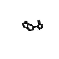 c1c[nH]c(-c2ccc3ccoc3c2)c1